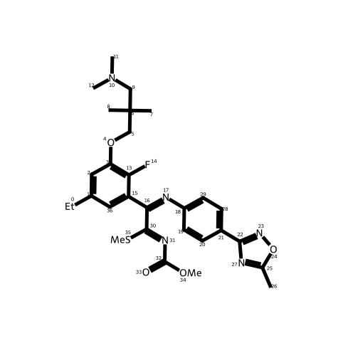 CCc1cc(OCC(C)(C)CN(C)C)c(F)c(C(=Nc2ccc(-c3noc(C)n3)cc2)/C(=N/C(=O)OC)SC)c1